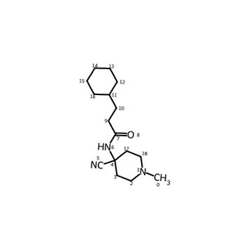 CN1CCC(C#N)(NC(=O)CCC2CCCCC2)CC1